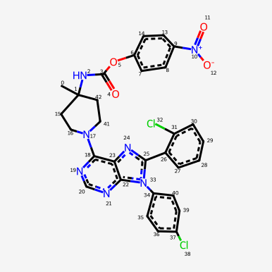 CC1(NC(=O)Oc2ccc([N+](=O)[O-])cc2)CCN(c2ncnc3c2nc(-c2ccccc2Cl)n3-c2ccc(Cl)cc2)CC1